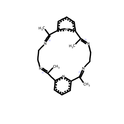 C/C1=N\CC/N=C(\C)c2cccc(n2)/C(C)=N/CC/N=C(\C)c2cccc1n2